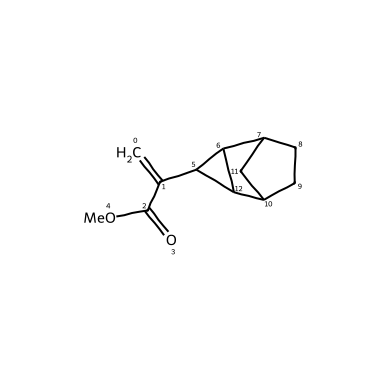 C=C(C(=O)OC)C1C2C3CCC(C3)C12